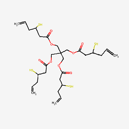 C=CCC(S)CC(=O)OCC(COC(=O)CC(S)CC=C)(COC(=O)CC(S)CC=C)COC(=O)CC(S)CC=C